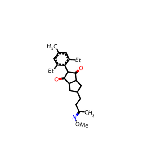 CCc1cc(C)cc(CC)c1C1C(=O)C2CC(CC/C(C)=N/OC)CC2C1=O